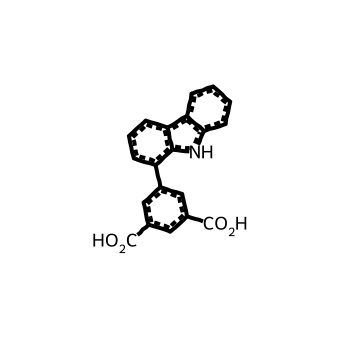 O=C(O)c1cc(C(=O)O)cc(-c2cccc3c2[nH]c2ccccc23)c1